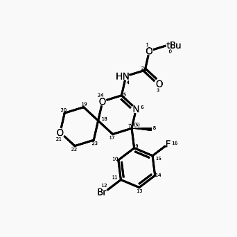 CC(C)(C)OC(=O)NC1=N[C@](C)(c2cc(Br)ccc2F)CC2(CCOCC2)O1